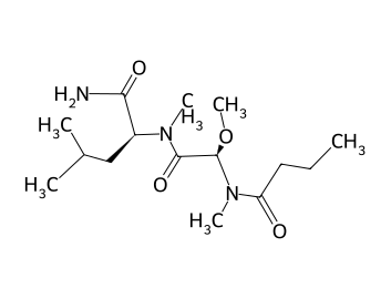 CCCC(=O)N(C)[C@H](OC)C(=O)N(C)[C@@H](CC(C)C)C(N)=O